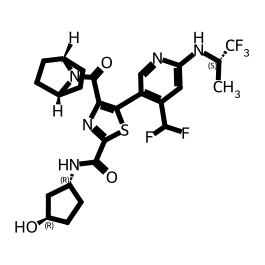 C[C@H](Nc1cc(C(F)F)c(-c2sc(C(=O)N[C@@H]3CC[C@@H](O)C3)nc2C(=O)N2[C@H]3CC[C@@H]2CC3)cn1)C(F)(F)F